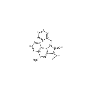 C[C@@H](/N=C1\CN(Cc2ccccc2)C(=O)C12CC2)c1ccccc1